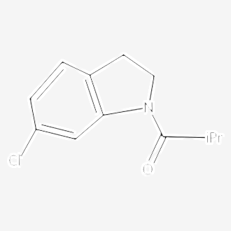 CC(C)C(=O)N1CCc2ccc(Cl)cc21